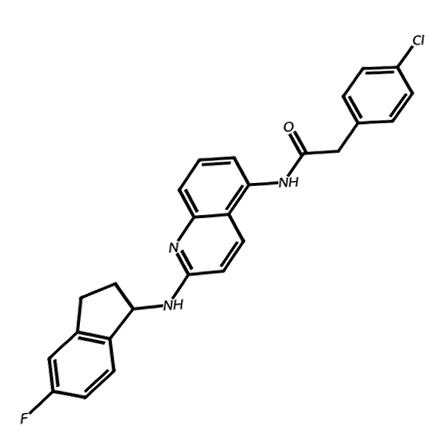 O=C(Cc1ccc(Cl)cc1)Nc1cccc2nc(NC3CCc4cc(F)ccc43)ccc12